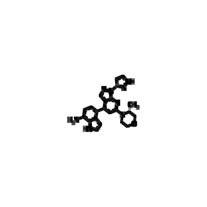 C[C@@H]1COCCN1c1cc(-c2ccc(N)c3[nH]ccc23)c2cnn(-c3cc[nH]n3)c2n1